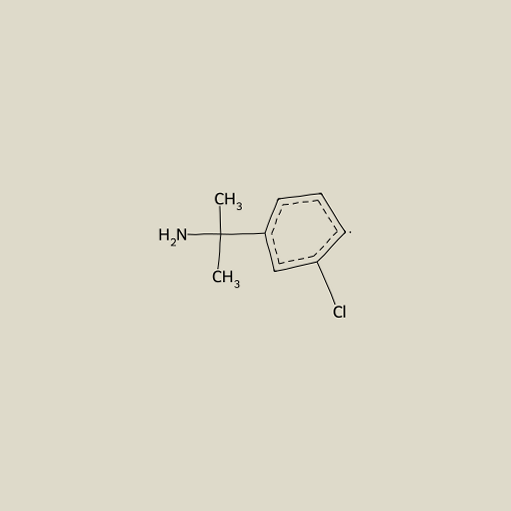 CC(C)(N)c1cc[c]c(Cl)c1